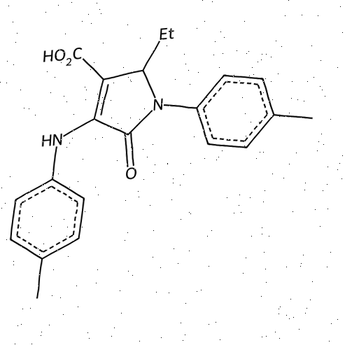 CCC1C(C(=O)O)=C(Nc2ccc(C)cc2)C(=O)N1c1ccc(C)cc1